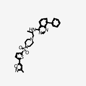 Cc1cc(-c2ccc(S(=O)(=O)N3CCN(CC(C)Nc4ncnc5c(-c6ccccc6)cccc45)CC3)s2)on1